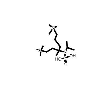 CC(C)N(C(C)(CCC[Si](C)(C)C)CC[Si](C)(C)C)P(=O)(O)O